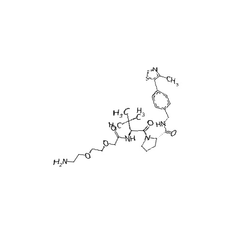 Cc1ncsc1-c1ccc(CNC(=O)[C@@H]2CCCN2C(=O)[C@@H](NC(=O)COCCOCCN)C(C)(C)C)cc1